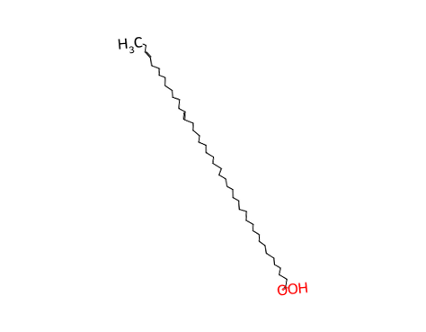 CCC=CCCCCCCCCCC=CCCCCCCCCCCCCCCCCCCCCCCCCCCCCCC(=O)O